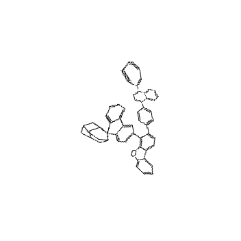 c1ccc(-c2ccc(-c3ccc(-c4ccc5c(oc6ccccc65)c4-c4ccc5c(c4)-c4ccccc4C54C5CC6CC(C5)CC4C6)cc3)c3ccccc23)cc1